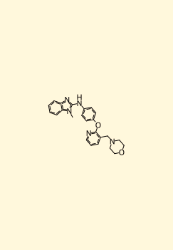 Cn1c(Nc2ccc(Oc3ncccc3CN3CCOCC3)cc2)nc2ccccc21